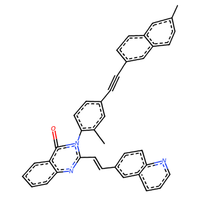 Cc1ccc2cc(C#Cc3ccc(-n4c(/C=C/c5ccc6ncccc6c5)nc5ccccc5c4=O)c(C)c3)ccc2c1